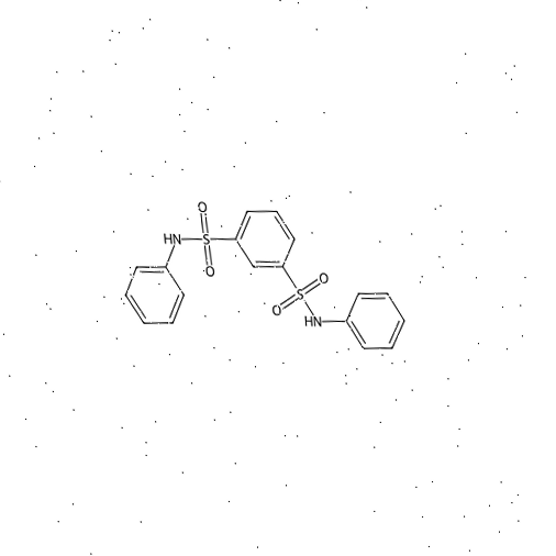 O=S(=O)(Nc1ccccc1)c1cccc(S(=O)(=O)Nc2ccccc2)c1